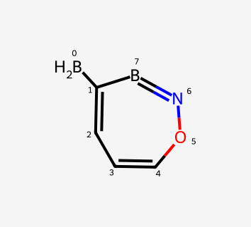 BC1=CC=CON=B1